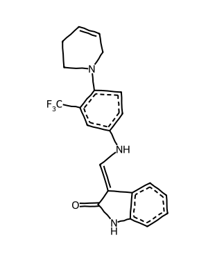 O=C1Nc2ccccc2C1=CNc1ccc(N2CC=CCC2)c(C(F)(F)F)c1